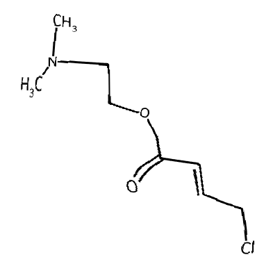 CN(C)CCOC(=O)C=CCCl